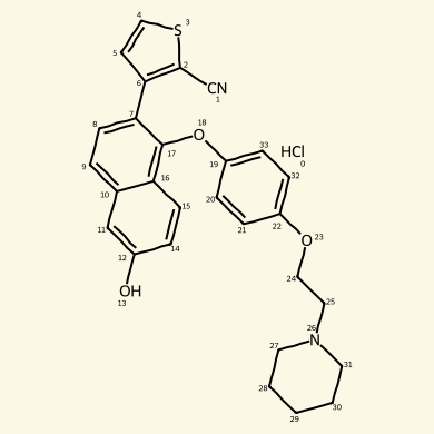 Cl.N#Cc1sccc1-c1ccc2cc(O)ccc2c1Oc1ccc(OCCN2CCCCC2)cc1